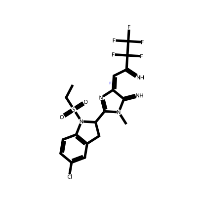 CCS(=O)(=O)N1c2ccc(Cl)cc2CC1C1=N/C(=C/C(=N)C(F)(F)C(F)(F)F)C(=N)N1C